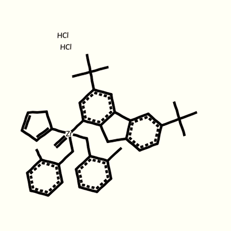 Cl.Cl.[CH2]=[Zr]([CH2]c1ccccc1C)([CH2]c1ccccc1C)([C]1=CC=CC1)[c]1cc(C(C)(C)C)cc2c1Cc1ccc(C(C)(C)C)cc1-2